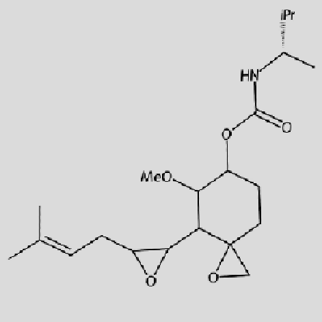 COC1C(OC(=O)N[C@@H](C)C(C)C)CCC2(CO2)C1C1OC1CC=C(C)C